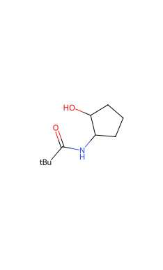 CC(C)(C)C(=O)NC1CCCC1O